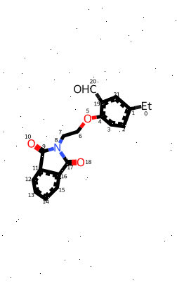 CCc1ccc(OCCN2C(=O)c3ccccc3C2=O)c(C=O)c1